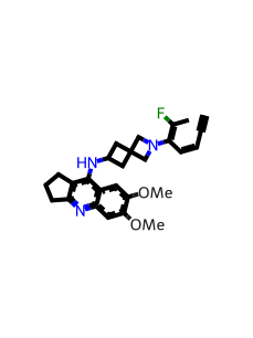 C#C/C=C\C(=C(/C)F)N1CC2(CC(Nc3c4c(nc5cc(OC)c(OC)cc35)CCC4)C2)C1